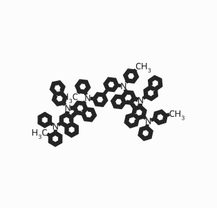 Cc1ccc(N(c2ccccc2)c2cc3c(c4ccccc24)c2c4ccccc4c(N(c4ccc(C)cc4)c4cccc(-c5cccc(N(c6ccccc6C)c6cc7c(c8ccccc68)c6c8ccccc8c(N(c8ccccc8)c8ccccc8C)cc6n7-c6ccc7ccccc7c6)c5)c4)cc2n3-c2ccc3ccccc3c2)cc1